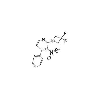 O=[N+]([O-])c1c(-c2ccccc2)ccnc1N1CC(F)(F)C1